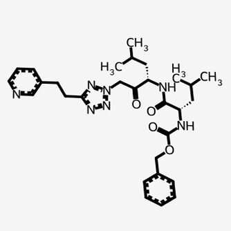 CC(C)C[C@H](NC(=O)[C@H](CC(C)C)NC(=O)OCc1ccccc1)C(=O)Cn1nnc(CCc2cccnc2)n1